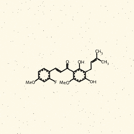 COc1ccc(C=CC(=O)c2c(OC)cc(O)c(CC=C(C)C)c2O)c(F)c1